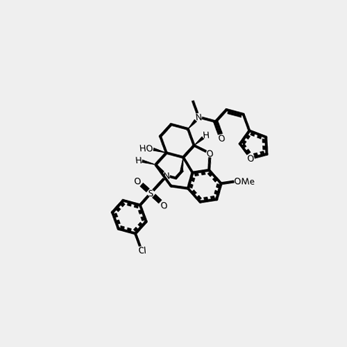 COc1ccc2c3c1O[C@H]1[C@H](N(C)C(=O)/C=C\c4ccoc4)CC[C@@]4(O)[C@@H](C2)N(S(=O)(=O)c2cccc(Cl)c2)CC[C@]314